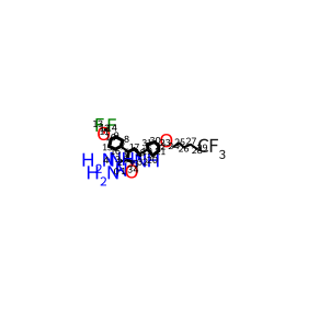 N/N=C(\NN)c1c(-c2ccc(OC(F)F)cc2)cc(-c2ccc(OCCCCCC(F)(F)F)cc2)[nH]c1=O